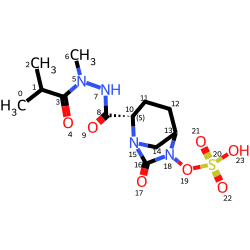 CC(C)C(=O)N(C)NC(=O)[C@@H]1CCC2CN1C(=O)N2OS(=O)(=O)O